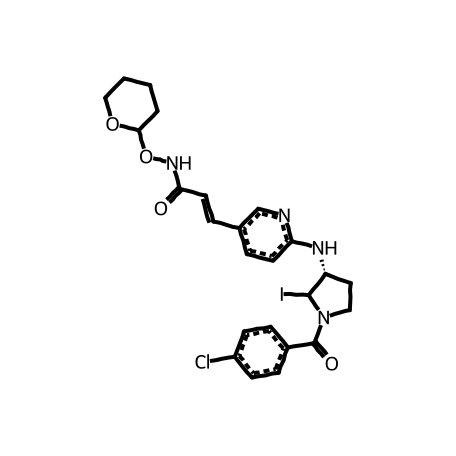 O=C(C=Cc1ccc(N[C@@H]2CCN(C(=O)c3ccc(Cl)cc3)C2I)nc1)NOC1CCCCO1